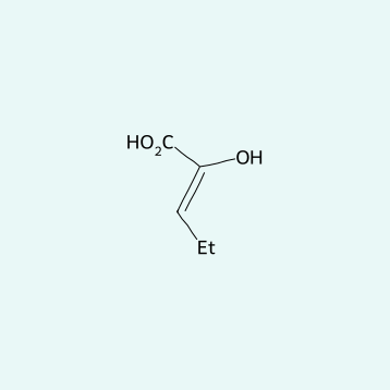 CCC=C(O)C(=O)O